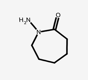 NN1CCCCCC1=O